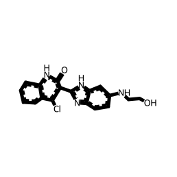 O=c1[nH]c2ccccc2c(Cl)c1-c1nc2ccc(NCCO)cc2[nH]1